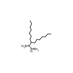 BBB(B)C(CCCCCCC)CCCCCCC